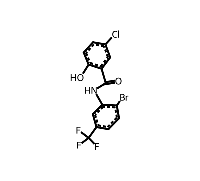 O=C(Nc1cc(C(F)(F)F)ccc1Br)c1cc(Cl)ccc1O